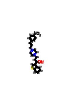 O=[N+]([O-])c1ccc(C=CCN2CCN(CCC(O)c3csc4ccccc34)CC2)cc1